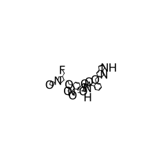 O=C(NS(=O)(=O)c1ccc(OC[C@@H]2CN(C3COC3)C[C@H]2CF)c([N+](=O)[O-])c1)c1ccccc1Oc1cnc2[nH]ccc2c1